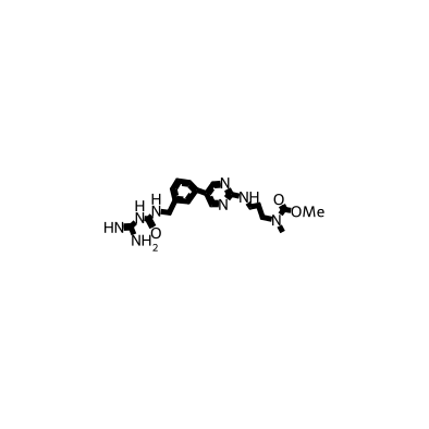 COC(=O)N(C)CCCNc1ncc(-c2cccc(CNC(=O)NC(=N)N)c2)cn1